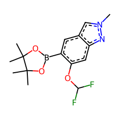 Cn1cc2cc(B3OC(C)(C)C(C)(C)O3)c(OC(F)F)cc2n1